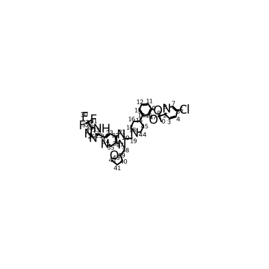 CC1(c2ccc(Cl)cn2)Oc2cccc(C3CCN(Cc4nc5cc(-c6nnc(C(F)(F)F)[nH]6)ncc5n4CC4CCCO4)CC3)c2O1